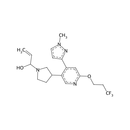 C=CC(O)N1CCC(c2cnc(OCCC(F)(F)F)cc2-c2ccn(C)n2)C1